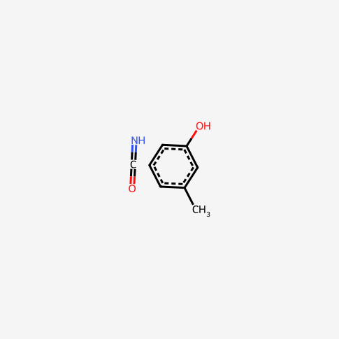 Cc1cccc(O)c1.N=C=O